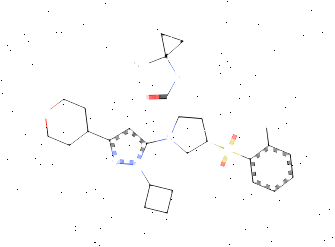 N#CC1(NC(=O)[C@@H]2C[C@@H](S(=O)(=O)c3ccccc3C(F)(F)F)CN2c2cc(C3CCOCC3)nn2C2CCC2)CC1